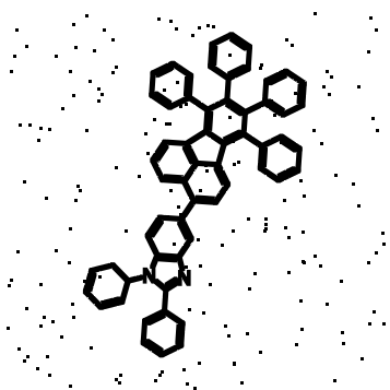 C1=CCC(n2c(-c3ccccc3)nc3cc(-c4ccc5c6c(cccc46)-c4c(-c6ccccc6)c(-c6ccccc6)c(-c6ccccc6)c(-c6ccccc6)c4-5)ccc32)C=C1